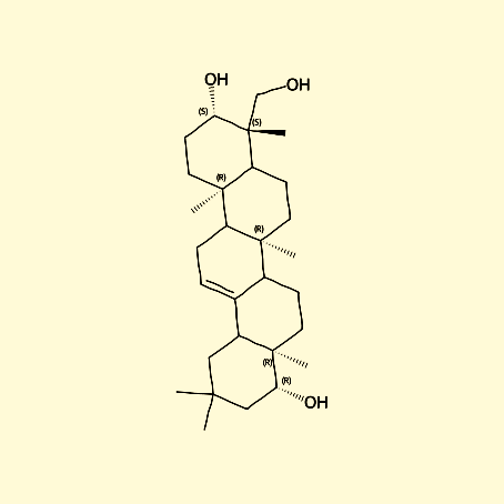 CC1(C)CC2C3=CCC4[C@@](C)(CCC5[C@]4(C)CC[C@H](O)[C@]5(C)CO)C3CC[C@@]2(C)[C@H](O)C1